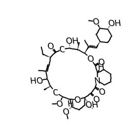 CC[C@@H]1/C=C(\C)C(O)[C@H](C)C[C@H](OC)[C@H]2O[C@@](O)(C(=O)C(=O)N3CCCC[C@H]3C(=O)O[C@H](/C(C)=C/[C@@H]3CC[C@@H](O)[C@H](OC)C3)[C@H](C)[C@@H](O)CC1=O)[C@H](C)C[C@@H]2OC